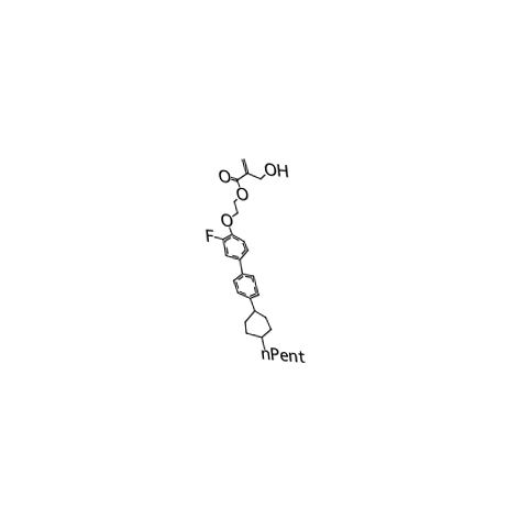 C=C(CO)C(=O)OCCOc1ccc(-c2ccc(C3CCC(CCCCC)CC3)cc2)cc1F